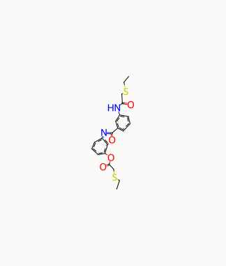 CCSCC(=O)Nc1cccc(-c2nc3cccc(OC(=O)CSCC)c3o2)c1